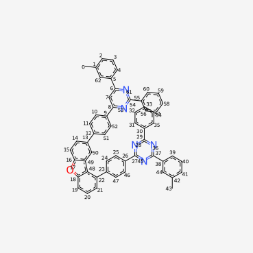 Cc1cccc(-c2cc(-c3ccc(-c4ccc5oc6cccc(-c7ccc(-c8nc(-c9ccccc9)nc(-c9cccc(C)c9)n8)cc7)c6c5c4)cc3)nc(-c3ccccc3)n2)c1